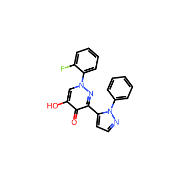 O=c1c(O)cn(-c2ccccc2F)nc1-c1ccnn1-c1ccccc1